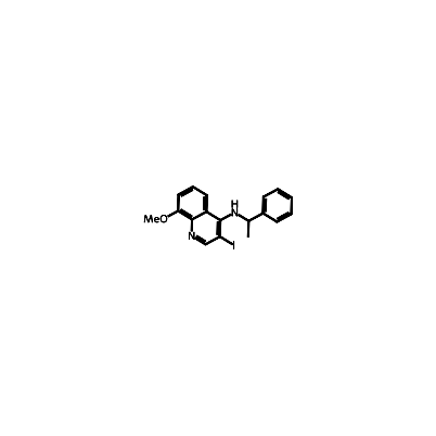 COc1cccc2c(NC(C)c3ccccc3)c(I)cnc12